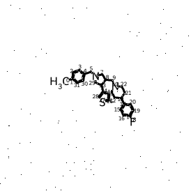 Cc1ccc(CN2CC(CN3CCC(c4ccc(F)cc4)CC3)C(c3ccsc3)C2)cc1